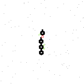 Cc1ccc(OCc2ccc(-c3ccc(-c4ccccc4)c(F)c3F)cc2)c(F)c1